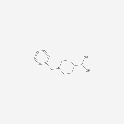 OC(O)C1CCN(Cc2ccccc2)CC1